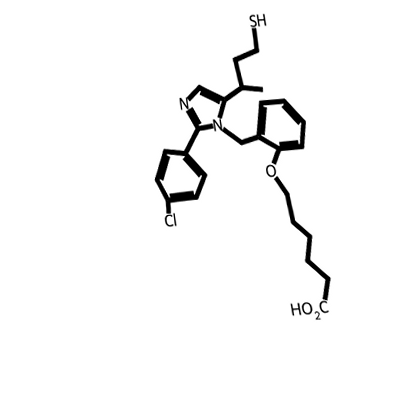 CC(CCS)c1cnc(-c2ccc(Cl)cc2)n1Cc1ccccc1OCCCCCC(=O)O